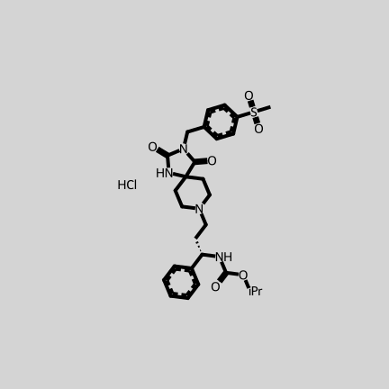 CC(C)OC(=O)N[C@@H](CCN1CCC2(CC1)NC(=O)N(Cc1ccc(S(C)(=O)=O)cc1)C2=O)c1ccccc1.Cl